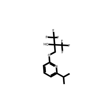 CC(C)c1cccc(OCC(O)(C(F)(F)F)C(F)(F)F)n1